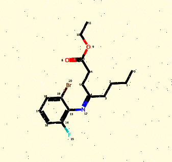 CCCC/C(CCC(=O)OCC)=N/c1c(F)cccc1Br